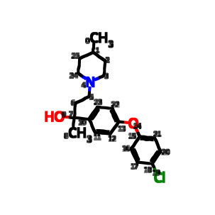 CC1CCN(CCC(C)(O)c2ccc(Oc3ccc(Cl)cc3)cc2)CC1